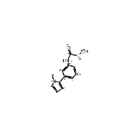 Cn1cccc1-c1cncc(NC(=O)OC(C)(C)C)c1